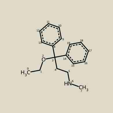 CCOC(CCNC)(c1ccccc1)c1ccccc1